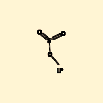 CO[S-](=O)=O.[Li+]